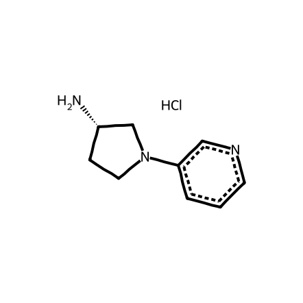 Cl.N[C@H]1CCN(c2cccnc2)C1